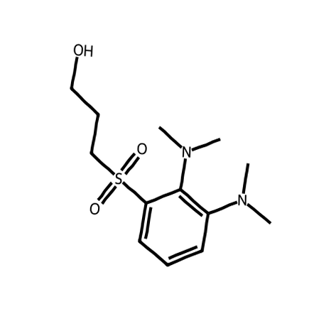 CN(C)c1cccc(S(=O)(=O)CCCO)c1N(C)C